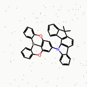 CC1(C)c2ccccc2-c2c1ccc1c3ccccc3n(-c3cc4c5c(c3)Oc3ccccc3B5c3ccccc3O4)c21